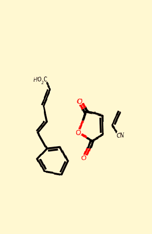 C=CC#N.O=C(O)C=CC=Cc1ccccc1.O=C1C=CC(=O)O1